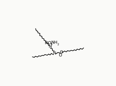 CCCCCCCCCCCCCCOC(=O)CCN(CCCCCCCCCCCCCC)CCCCN(CCCCCCCCCCCCCC)CC(N)O